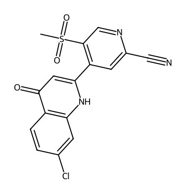 CS(=O)(=O)c1cnc(C#N)cc1-c1cc(=O)c2ccc(Cl)cc2[nH]1